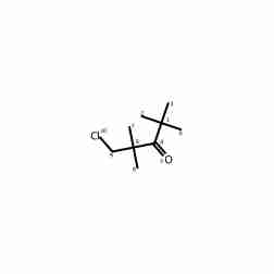 CC(C)(C)C(=O)C(C)(C)CCl